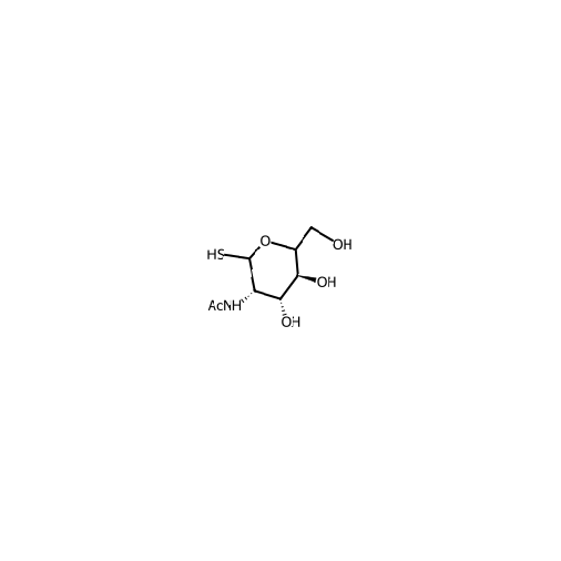 CC(=O)N[C@@H]1C(S)OC(CO)[C@@H](O)[C@@H]1O